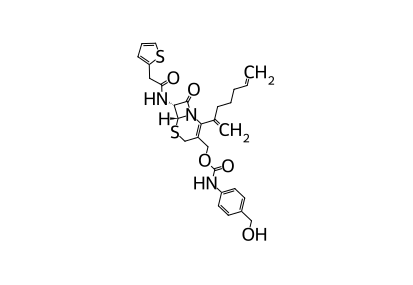 C=CCCCC(=C)C1=C(COC(=O)Nc2ccc(CO)cc2)CS[C@@H]2[C@H](NC(=O)Cc3cccs3)C(=O)N12